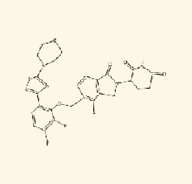 O=C1CCC(N2Cc3c(ccc(COc4c(-c5csc(N6CCOCC6)n5)ccc(F)c4F)c3F)C2=O)C(=O)N1